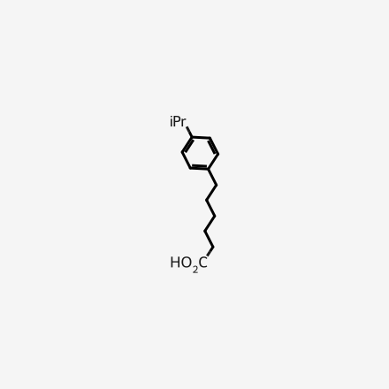 CC(C)c1ccc(CCCCCC(=O)O)cc1